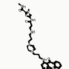 CNC(=O)c1nc(NC(=O)CCNCCCN2CCN(CCCNc3ccc4ccn5c6ccccc6c(=O)c3c45)CC2)cn1C